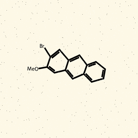 COc1cc2cc3ccccc3cc2cc1Br